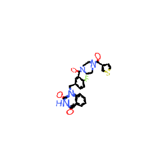 O=C(c1ccsc1)N1CCN(C(=O)c2cc(Cn3c(=O)[nH]c(=O)c4ccccc43)ccc2F)CC1